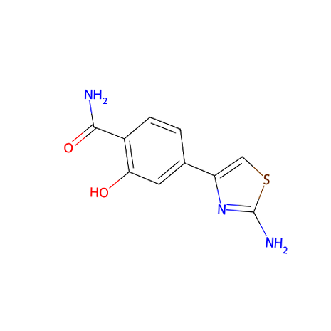 NC(=O)c1ccc(-c2csc(N)n2)cc1O